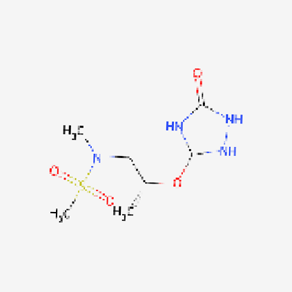 C[C@H](CN(C)S(C)(=O)=O)OC1NNC(=O)N1